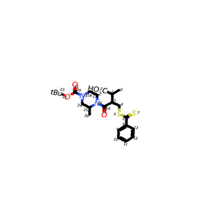 CC(C(=O)O)C(CSC(=S)c1ccccc1)C(=O)N1CCN(C(=O)OC(C)(C)C)CC1C